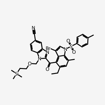 CCc1cc(C)c2c(c(Br)cn2S(=O)(=O)c2ccc(C)cc2)c1C(=O)c1nc2cc(C#N)ccc2n1COCC[Si](C)(C)C